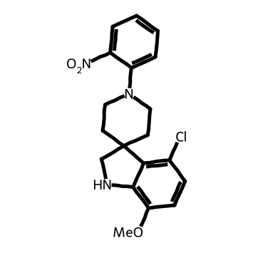 COc1ccc(Cl)c2c1NCC21CCN(c2ccccc2[N+](=O)[O-])CC1